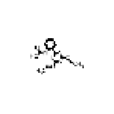 CCOc1nc(OCC)nc(-c2ccccc2NC(=O)O)n1